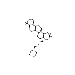 CC1(C)CC[C@]2(C(=O)NCCN3CCOCC3)CC[C@]3(C)C(=CC[C@@H]4[C@@]5(C)CC[C@H](O)C(C)(C)[C@@H]5CC[C@]43C)[C@@H]2C1